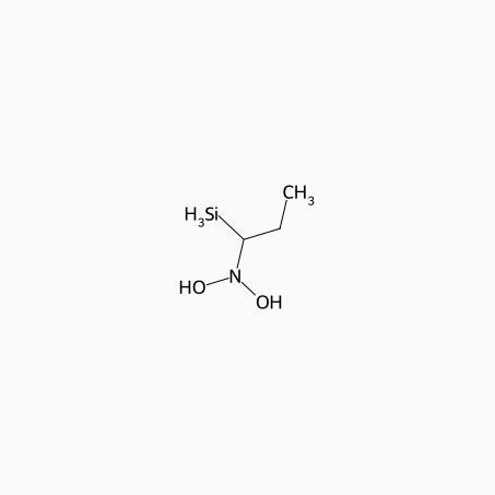 CCC([SiH3])N(O)O